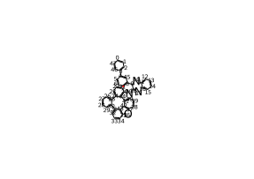 c1ccc(-c2cccc(-c3nc4ccccc4nc3-n3c4cccc5c6ccccc6c6cccc7oc8ccc3c(c8c76)c54)c2)cc1